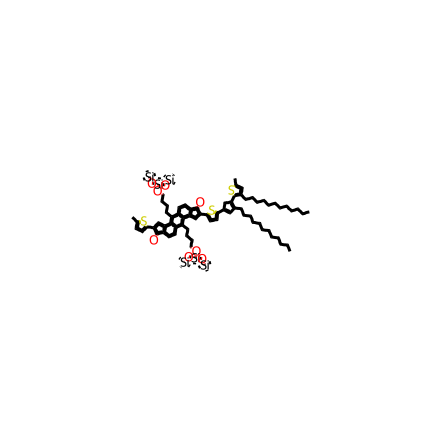 CCCCCCCCCCCCC1=C(c2sc(C)cc2CCCCCCCCCCCC)CC(c2ccc(-c3cc4c(ccc5c(CCCCO[Si](C)(O[Si](C)(C)C)O[Si](C)(C)C)c6c(ccc7c(=O)c(-c8ccc(C)s8)cc76)c(CCCCO[Si](C)(O[Si](C)(C)C)O[Si](C)(C)C)c54)c3=O)s2)=C1